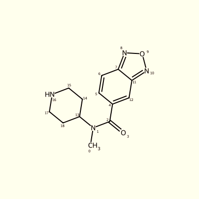 CN(C(=O)c1ccc2nonc2c1)C1CCNCC1